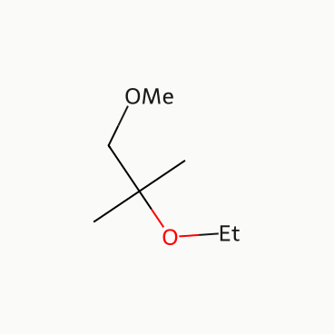 [CH2]COC(C)(C)CO[CH2]